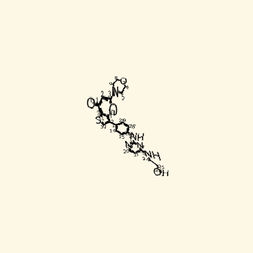 O=c1cc(N2CCOCC2)oc2c(-c3ccc(Nc4nccc(NCCO)n4)cc3)csc12